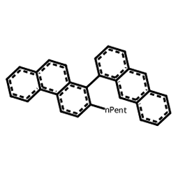 CCCCCc1ccc2c(ccc3ccccc32)c1-c1cccc2cc3ccccc3cc12